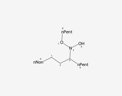 CCCCCCCCCCCC(CCCCC)N(O)OCCCCC